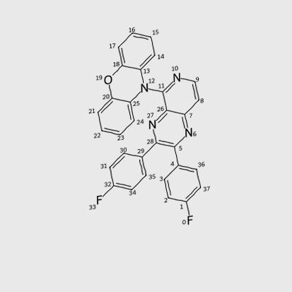 Fc1ccc(-c2nc3ccnc(N4c5ccccc5Oc5ccccc54)c3nc2-c2ccc(F)cc2)cc1